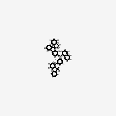 CC1(C)c2ccccc2-c2cccc(-c3cccc(N(c4ccc5c(c4)C4(CCc6ccccc64)c4ccccc4-5)c4cccc5ccccc45)c3)c21